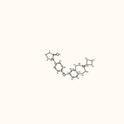 O=C1CCCN1c1ccc(Oc2ccc3c(c2)CCN(C2CCC2)CC3)cc1